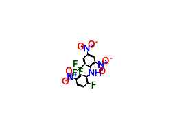 O=[N+]([O-])c1ccc(F)c(Nc2c([N+](=O)[O-])cc([N+](=O)[O-])cc2C(F)(F)F)c1